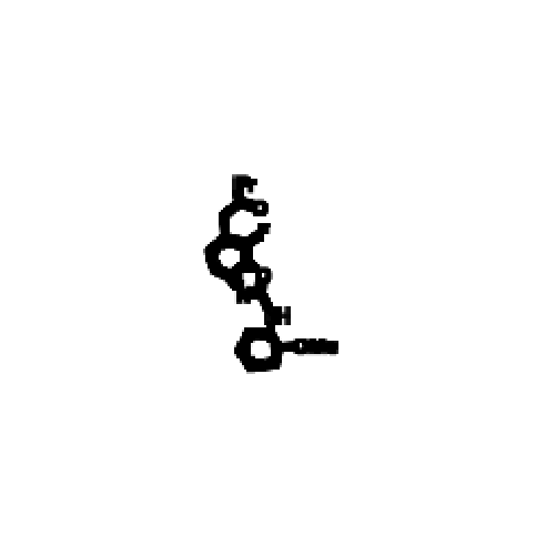 COc1ccccc1Nc1nc2ccc(CC(=O)C(C)C)c(F)c2o1